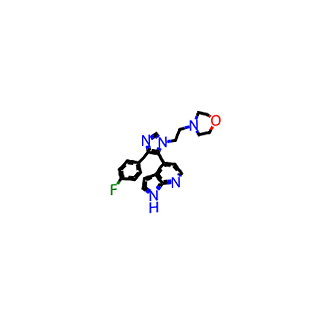 Fc1ccc(-c2ncn(CCN3CCOCC3)c2-c2ccnc3[nH]ccc23)cc1